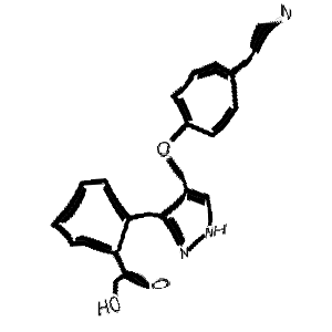 N#Cc1ccc(Oc2c[nH]nc2-c2ccccc2C(=O)O)cc1